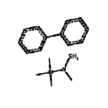 CN([SiH3])[Si](C)(C)C.c1ccc(-c2ccccc2)cc1